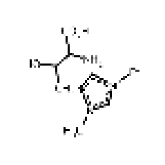 CC(O)C(N)C(=O)O.CC[n+]1ccn(C)c1